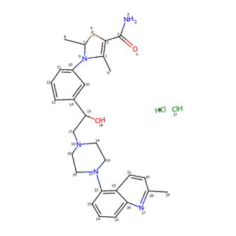 CC1=C(C(N)=O)SC(C)N1c1cccc(C(O)CN2CCN(c3cccc4nc(C)ccc34)CC2)c1.Cl.Cl